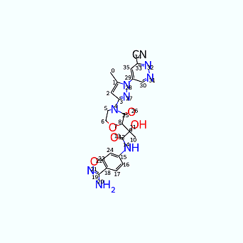 Cc1cc(N2CCOC(C(C)(O)C(=O)Nc3ccc4c(N)noc4c3)C2=O)nn1-c1cnnc(C#N)c1